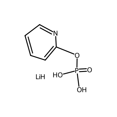 O=P(O)(O)Oc1ccccn1.[LiH]